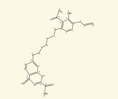 C=CCc1ccc(OCCCCCOc2ccc3c(=O)cc(C(=O)O)oc3c2)c(C(C)=O)c1O